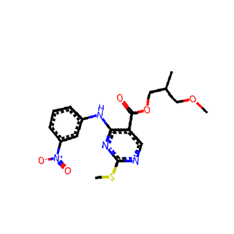 COCC(C)COC(=O)c1cnc(SC)nc1Nc1cccc([N+](=O)[O-])c1